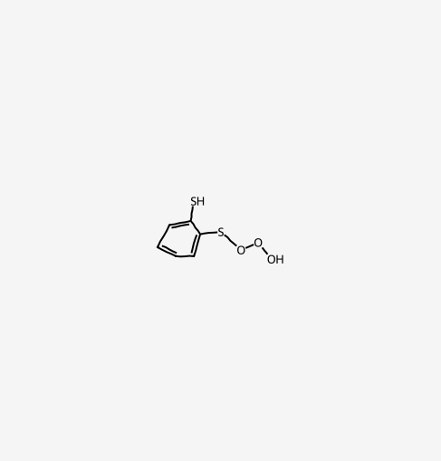 OOOSc1ccccc1S